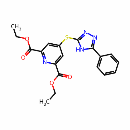 CCOC(=O)c1cc(Sc2nnc(-c3ccccc3)[nH]2)cc(C(=O)OCC)n1